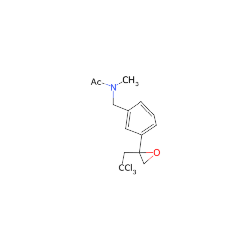 CC(=O)N(C)Cc1cccc(C2(CC(Cl)(Cl)Cl)CO2)c1